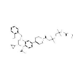 CC(=O)N1c2ccc(C3=CCN(C(=O)CC(C)(C)OCC(C)(C)NC(=O)OC(C)(C)C)CC3)cc2N(Cc2ccccc2CO)C[C@@H]1C1CC1